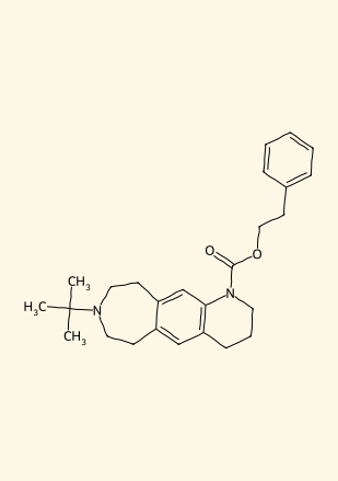 CC(C)(C)N1CCc2cc3c(cc2CC1)N(C(=O)OCCc1ccccc1)CCC3